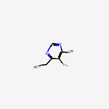 N#CCc1ncnc(C#N)c1C(F)(F)F